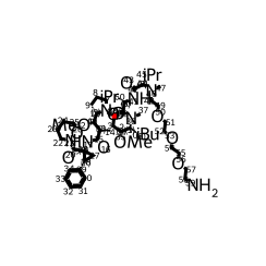 CC[C@H](C)[C@@H]([C@@H](CC(=O)N1CCC[C@H]1[C@H](OC)[C@@H](C)C(=O)N[C@@]1(C(=O)N2CCCCO2)C[C@@H]1c1ccccc1)OC)N(C)C(=O)[C@@H](NC(=O)[C@H](C(C)C)N(C)CCOCCOCCOCCN)C(C)C